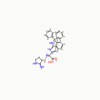 N=C1NCCC1ON=C(C(=O)O)c1csc(NC(c2ccccc2)(c2ccccc2)c2ccccc2)n1